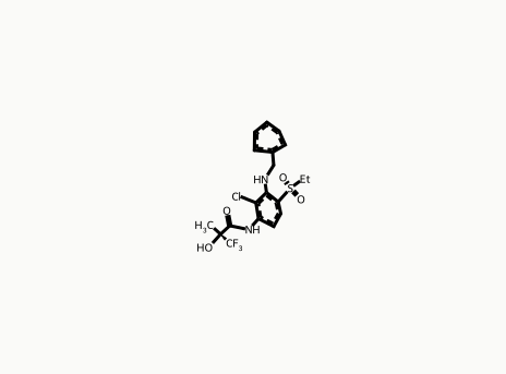 CCS(=O)(=O)c1ccc(NC(=O)[C@@](C)(O)C(F)(F)F)c(Cl)c1NCc1ccccc1